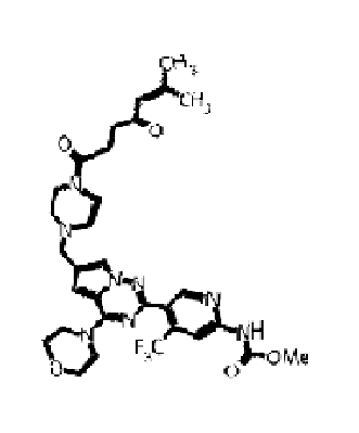 COC(=O)Nc1cc(C(F)(F)F)c(-c2nc(N3CCOCC3)c3cc(CN4CCN(C(=O)CCC(=O)C=C(C)C)CC4)cn3n2)cn1